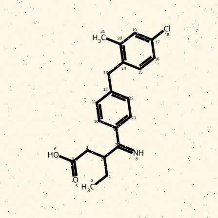 CCC(CC(=O)O)C(=N)c1ccc(Cc2ccc(Cl)cc2C)cc1